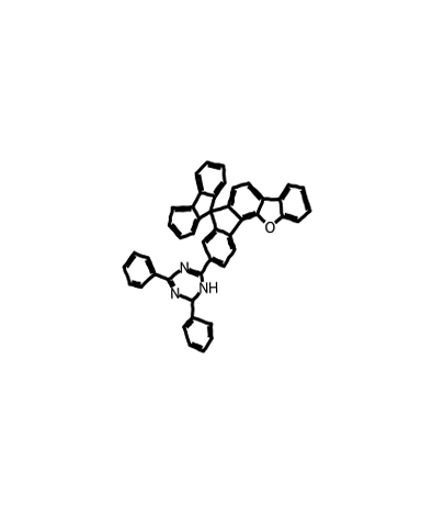 c1ccc(C2=NC(c3ccccc3)NC(c3ccc4c(c3)C3(c5ccccc5-c5ccccc53)c3ccc5c(oc6ccccc65)c3-4)=N2)cc1